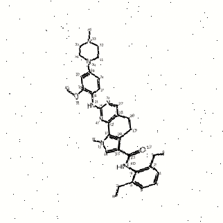 CCc1cccc(CC)c1NC(=O)c1cn(C)c2c1CCc1cnc(Nc3ccc(N4CCN(C)CC4)cc3OC)nc1-2